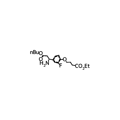 CCCCOC(=O)C[C@H](N)c1ccc(OCCCC(=O)OCC)c(F)c1